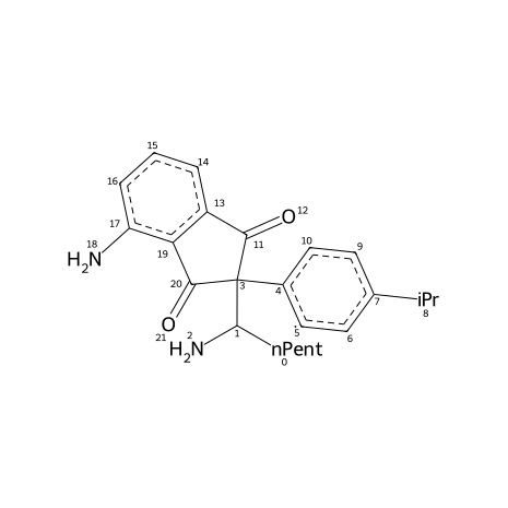 CCCCCC(N)C1(c2[c]cc(C(C)C)cc2)C(=O)c2cccc(N)c2C1=O